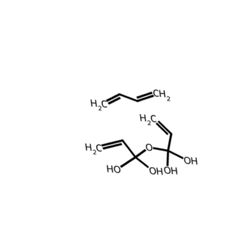 C=CC(O)(O)OC(O)(O)C=C.C=CC=C